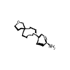 Nc1ccc(N2CCC3(CCOC3)CC2)cn1